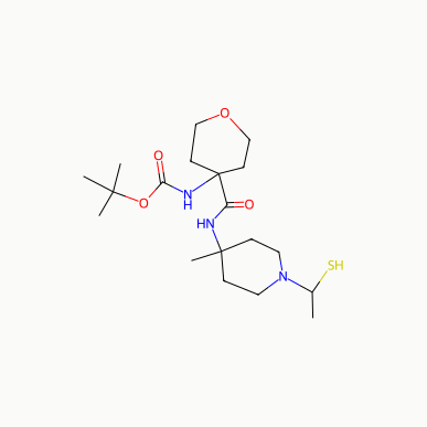 CC(S)N1CCC(C)(NC(=O)C2(NC(=O)OC(C)(C)C)CCOCC2)CC1